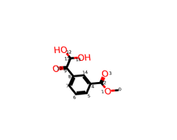 COC(=O)c1cccc(C(=O)C(O)O)c1